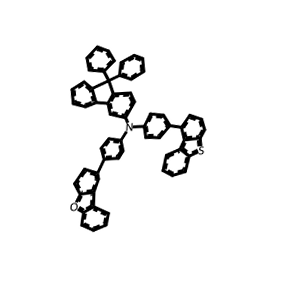 c1ccc(C2(c3ccccc3)c3ccccc3-c3cc(N(c4ccc(-c5ccc6oc7ccccc7c6c5)cc4)c4ccc(-c5cccc6sc7ccccc7c56)cc4)ccc32)cc1